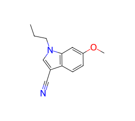 CCCn1cc(C#N)c2ccc(OC)cc21